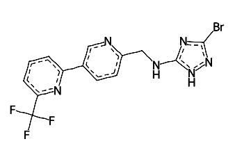 FC(F)(F)c1cccc(-c2ccc(CNc3nc(Br)n[nH]3)nc2)n1